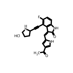 CC(=O)c1c[nH]c(C=C2C(=O)Nc3ccc(F)c(C#CC4CCCN4)c32)c1.Cl